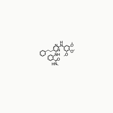 CNC(=O)c1ccccc1Nc1nc(Nc2cc(OC)c(OC)c(OC)c2)ncc1CCc1ccccc1